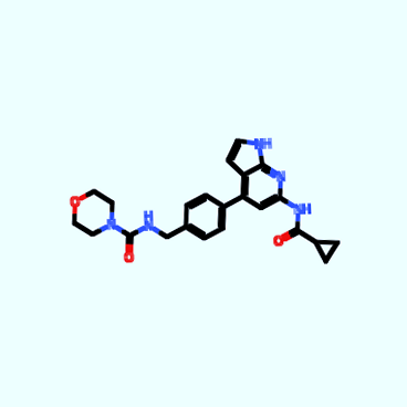 O=C(Nc1cc(-c2ccc(CNC(=O)N3CCOCC3)cc2)c2cc[nH]c2n1)C1CC1